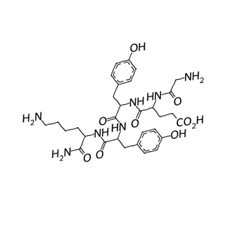 NCCCCC(NC(=O)C(Cc1ccc(O)cc1)NC(=O)C(Cc1ccc(O)cc1)NC(=O)C(CCC(=O)O)NC(=O)CN)C(N)=O